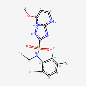 COc1ccnc2nc(S(=O)(=O)N(CF)c3c(F)ccc(C)c3F)nn12